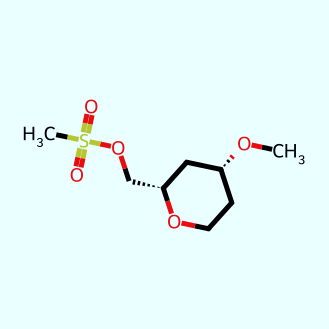 CO[C@@H]1CCO[C@H](COS(C)(=O)=O)C1